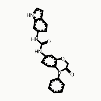 O=C(Nc1ccc2c(c1)OCC(=O)N2c1ccccc1)Nc1ccc2cc[nH]c2c1